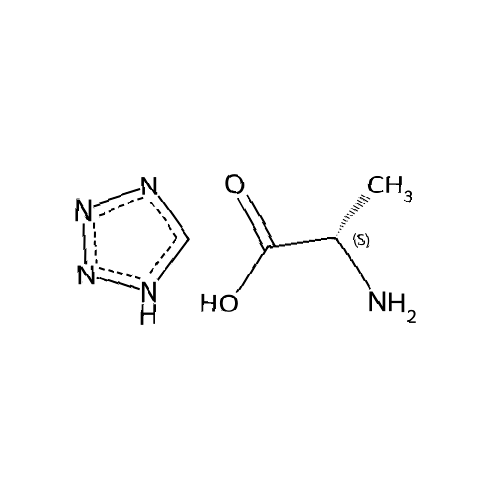 C[C@H](N)C(=O)O.c1nnn[nH]1